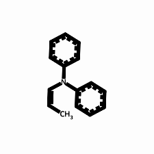 C/C=C\N(c1ccccc1)c1ccccc1